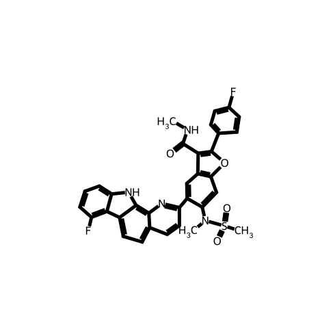 CNC(=O)c1c(-c2ccc(F)cc2)oc2cc(N(C)S(C)(=O)=O)c(-c3ccc4ccc5c([nH]c6cccc(F)c65)c4n3)cc12